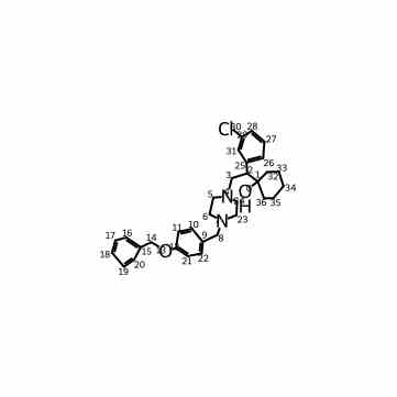 OC1(C(CN2CCN(Cc3ccc(OCc4ccccc4)cc3)CC2)c2cccc(Cl)c2)CCCCC1